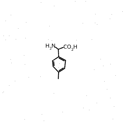 Cc1ccc(C(N)C(=O)O)cc1